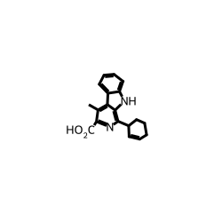 Cc1c(C(=O)O)nc(C2C=CCCC2)c2[nH]c3ccccc3c12